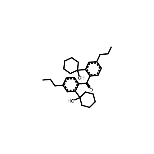 CCCc1ccc(C(=O)c2ccc(CCC)cc2C2(O)CCCCC2)c(C2(O)CCCCC2)c1